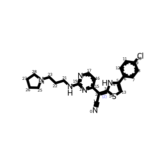 N#C/C(=C1/NC(c2ccc(Cl)cc2)=CS1)c1ccnc(NCCCN2CCCC2)n1